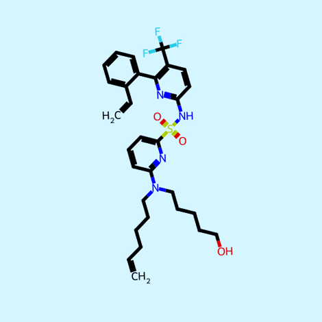 C=CCCCCN(CCCCCO)c1cccc(S(=O)(=O)Nc2ccc(C(F)(F)F)c(-c3ccccc3C=C)n2)n1